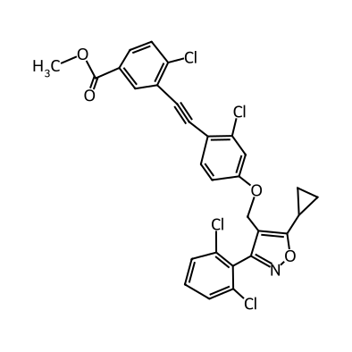 COC(=O)c1ccc(Cl)c(C#Cc2ccc(OCc3c(-c4c(Cl)cccc4Cl)noc3C3CC3)cc2Cl)c1